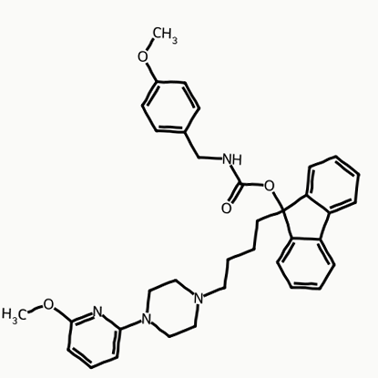 COc1ccc(CNC(=O)OC2(CCCCN3CCN(c4cccc(OC)n4)CC3)c3ccccc3-c3ccccc32)cc1